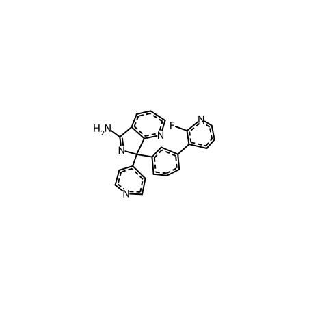 NC1=NC(c2ccncc2)(c2cccc(-c3cccnc3F)c2)c2ncccc21